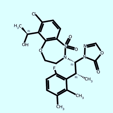 Cc1ccc(F)c([C@@H](C)[C@H](N2CCOc3c(ccc(Cl)c3[C@H](C)O)S2(=O)=O)n2ncoc2=O)c1C